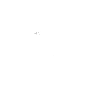 CC/C=C1\CCNC(C)C1